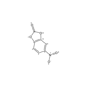 O=c1oc2ccc([N+](=O)[O-])cc2o1